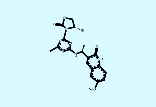 CC[C@H]1COC(=O)N1c1nc(C)nc(N[C@@H](C)c2cc3cc(OC)ccc3[nH]c2=O)n1